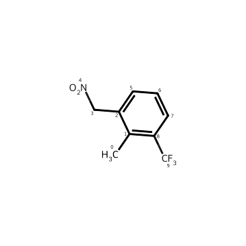 Cc1c(C[N+](=O)[O-])cccc1C(F)(F)F